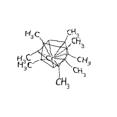 C[C]12[CH]3[C]4(C)[C]5(C)[C]1(C)[Cr]32451678[CH]2[C]1(C)[C]6(C)[C]7(C)[C]28C